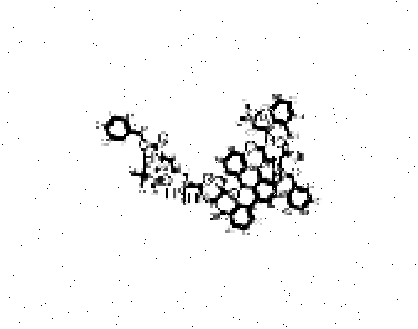 CN[C@@H](C[C@H](CNC(=O)OCc1ccccc1)O[Si](C)(C)C(C)(C)C)C(=O)N[C@@H](Cc1cccc(-c2ccc(OCc3ccccc3)c(C[C@H](NC(=O)OCc3ccccc3)C(=O)OCC[Si](C)(C)C)c2)c1)C(=O)OCc1ccccc1